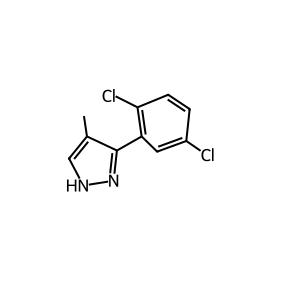 Cc1c[nH]nc1-c1cc(Cl)ccc1Cl